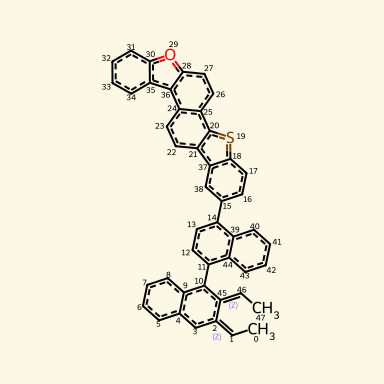 C/C=c1/cc2ccccc2c(-c2ccc(-c3ccc4sc5c(ccc6c5ccc5oc7ccccc7c56)c4c3)c3ccccc23)/c1=C/C